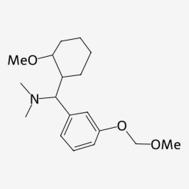 COCOc1cccc(C(C2CCCCC2OC)N(C)C)c1